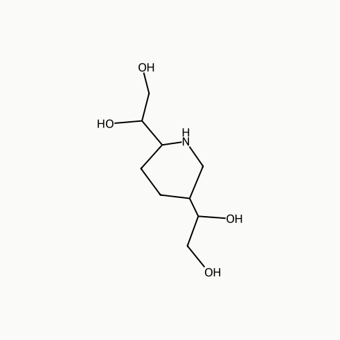 OCC(O)C1CCC(C(O)CO)NC1